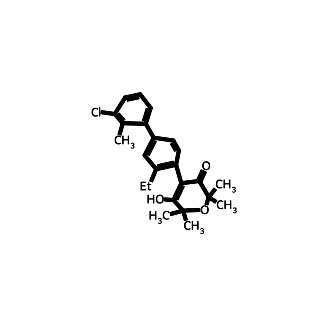 CCc1cc(-c2cccc(Cl)c2C)ccc1C1=C(O)C(C)(C)OC(C)(C)C1=O